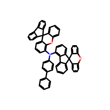 c1ccc(-c2ccc(N(c3cccc4c3Oc3ccccc3C43c4ccccc4-c4ccccc43)c3cccc4c3-c3ccccc3C43c4ccccc4Oc4ccccc43)cc2)cc1